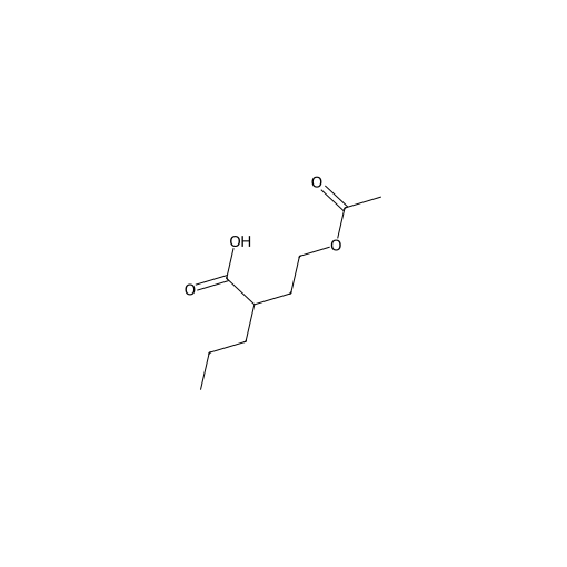 CCCC(CCOC(C)=O)C(=O)O